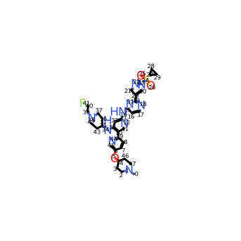 CN1CCC(Oc2ccc(-c3cnc(Nc4ccnc(-c5cnn(S(=O)(=O)C6CC6)c5)n4)cc3NC3CCN(CCF)CC3)nc2)CC1